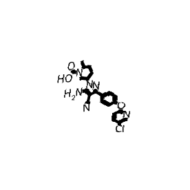 CC1CCC(n2nc(-c3ccc(Oc4ccc(Cl)cn4)cc3)c(C#N)c2N)CN1C(=O)O